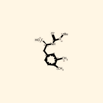 Cc1ccc(C[C@H](NC(=O)OC(C)(C)C)C(=O)O)cc1C